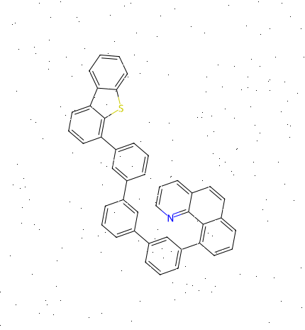 c1cc(-c2cccc(-c3cccc4c3sc3ccccc34)c2)cc(-c2cccc(-c3cccc4ccc5cccnc5c34)c2)c1